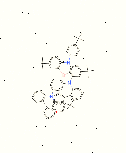 CC(C)(C)c1ccc(N2c3ccc(C(C)(C)C)cc3B3c4ccc(N(c5ccccc5)c5ccccc5-c5ccccc5)cc4N(c4cccc5c4-c4ccccc4C5(C)C)c4cc(C(C)(C)C)cc2c43)cc1